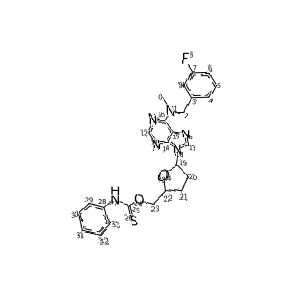 CN(Cc1cccc(F)c1)c1ncnc2c1ncn2C1CCC(COC(=S)Nc2ccccc2)O1